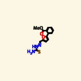 COC(=O)c1ccccc1-c1ccc(/C=N/NC(N)=S)o1